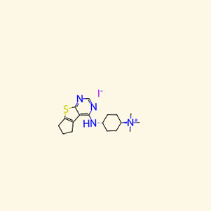 C[N+](C)(C)[C@H]1CC[C@H](Nc2ncnc3sc4c(c23)CCC4)CC1.[I-]